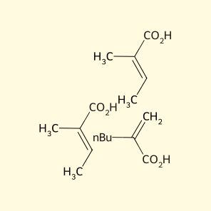 C=C(CCCC)C(=O)O.CC=C(C)C(=O)O.CC=C(C)C(=O)O